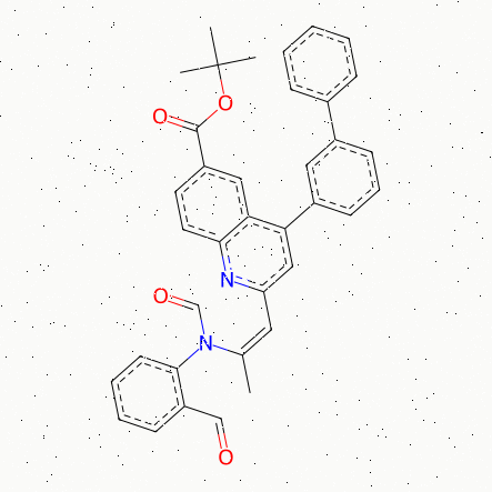 C/C(=C/c1cc(-c2cccc(-c3ccccc3)c2)c2cc(C(=O)OC(C)(C)C)ccc2n1)N(C=O)c1ccccc1C=O